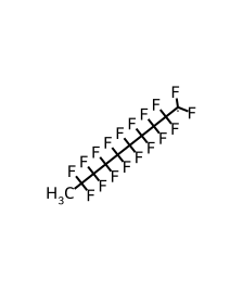 CC(F)(F)C(F)(F)C(F)(F)C(F)(F)C(F)(F)C(F)(F)C(F)(F)C(F)(F)[C](F)F